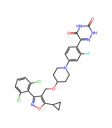 O=c1[nH]nc(-c2ccc(N3CCC(OCc4c(-c5c(Cl)cccc5Cl)noc4C4CC4)CC3)cc2F)c(=O)[nH]1